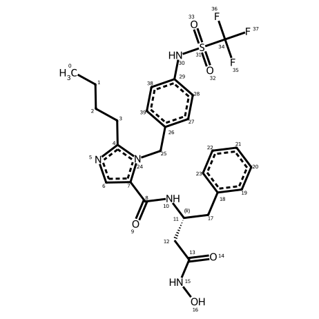 CCCCc1ncc(C(=O)N[C@@H](CC(=O)NO)Cc2ccccc2)n1Cc1ccc(NS(=O)(=O)C(F)(F)F)cc1